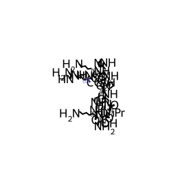 CC(C)[C@H](NC(=O)[C@@H](NC(=O)[C@@H](N)CCCCN)[C@@H](O)CN)C(=O)NCC(=O)N[C@H](CCCN)C(=O)N1CCC[C@H]1C(=O)N[C@@H](Cc1cnc[nH]1)C(=O)N[C@@H](CCCCN)C(=O)N/C(=C\CCNC(=N)N)C(=O)O